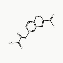 CC(=O)C1=Cc2cc(SC(=O)C(=O)O)ccc2OC1